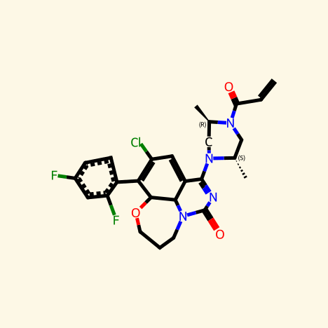 C=CC(=O)N1C[C@H](C)N(C2=NC(=O)N3CCCOC4C(c5ccc(F)cc5F)=C(Cl)C=C2C43)C[C@H]1C